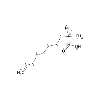 C=CCOCCCCC(C)(N)C(=O)O